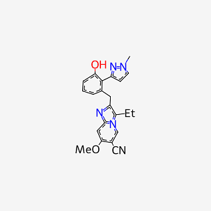 CCc1c(Cc2cccc(O)c2-c2ccn(C)n2)nc2cc(OC)c(C#N)cn12